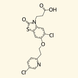 O=C(O)CCn1c(=O)sc2cc(OCCc3ccc(Cl)cn3)c(Cl)cc21